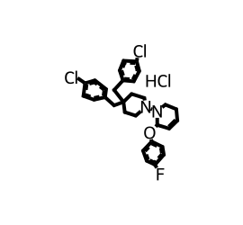 Cl.Fc1ccc(OC2C=CCCN2N2CCC(Cc3ccc(Cl)cc3)(Cc3ccc(Cl)cc3)CC2)cc1